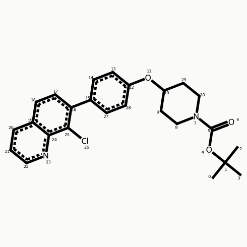 CC(C)(C)OC(=O)N1CCC(Oc2ccc(-c3ccc4cccnc4c3Cl)cc2)CC1